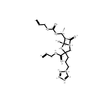 C=CCOC(=O)O[C@H](C)[C@H]1C(=O)N2CC(CCCn3cnnn3)(C(=O)OCC=C)S[C@H]12